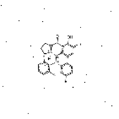 O=C1c2c(O)c(=O)cnn2[C@@H]([C@H](c2cccc(F)c2)c2c(F)cccc2F)[C@H]2CCCN12